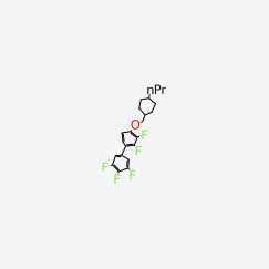 CCCC1CCC(COc2ccc(-c3cc(F)c(F)c(F)c3)c(F)c2F)CC1